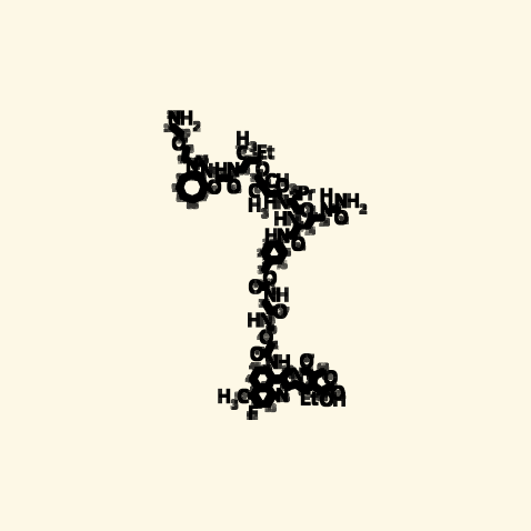 CCC(OCC(C)(C)CC(=O)N[C@H](C(=O)N[C@@H](CCCNC(N)=O)C(=O)Nc1ccc(COC(=O)NCC(=O)NCOCC(=O)N[C@H]2CCc3c(C)c(F)cc4nc5c(c2c34)Cn2c-5cc3c(c2=O)COC(=O)[C@]3(O)CC)cc1)C(C)C)C(C)CNC(=O)COC1CCCCCc2c1nnn2CCOCCN